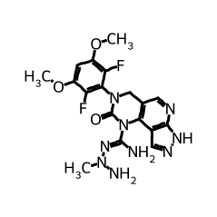 COc1cc(OC)c(F)c(N2Cc3cnc4[nH]ncc4c3N(/C(N)=N/N(C)N)C2=O)c1F